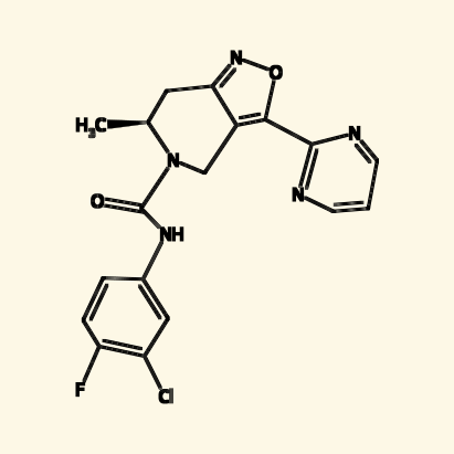 C[C@H]1Cc2noc(-c3ncccn3)c2CN1C(=O)Nc1ccc(F)c(Cl)c1